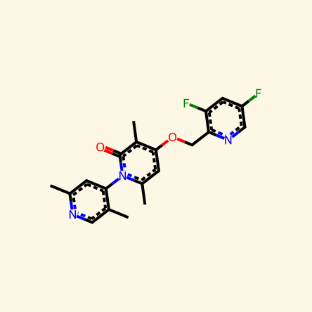 Cc1cc(-n2c(C)cc(OCc3ncc(F)cc3F)c(C)c2=O)c(C)cn1